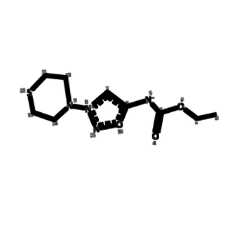 CCOC(=O)[N-]c1c[n+](N2CCSCC2)no1